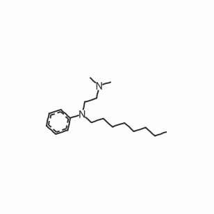 CCCCCCCCN(CCN(C)C)c1ccccc1